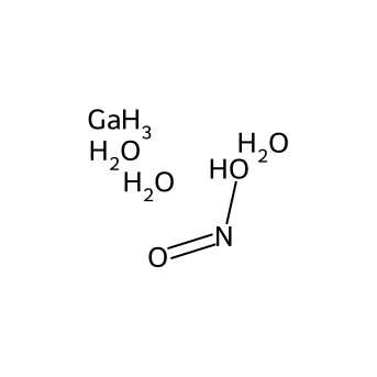 O.O.O.O=NO.[GaH3]